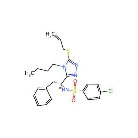 C=CCSc1nnc([C@@H](Cc2ccccc2)NS(=O)(=O)c2ccc(Cl)cc2)n1CCCC